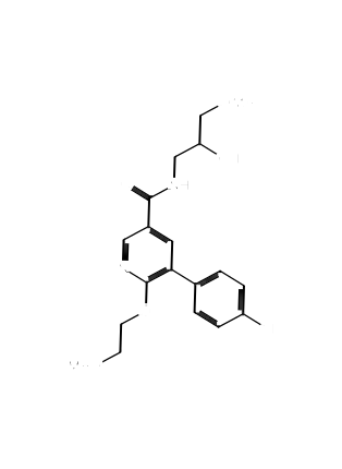 COCCOc1ncc(C(=O)NCC(O)COC)cc1-c1ccc(Cl)cc1